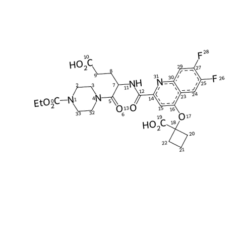 CCOC(=O)N1CCN(C(=O)C(CCC(=O)O)NC(=O)c2cc(OC3(C(=O)O)CCC3)c3cc(F)c(F)cc3n2)CC1